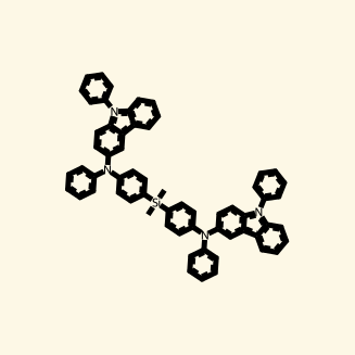 C[Si](C)(c1ccc(N(c2ccccc2)c2ccc3c(c2)c2ccccc2n3-c2ccccc2)cc1)c1ccc(N(c2ccccc2)c2ccc3c(c2)c2ccccc2n3-c2ccccc2)cc1